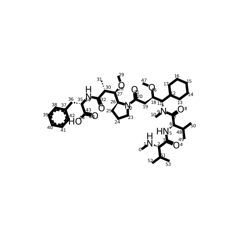 CN[C@H](C(=O)N[C@H](C(=O)N(C)[C@@H](C1CCCCC1)[C@@H](CC(=O)N1CCC[C@H]1[C@H](OC)[C@@H](C)C(=O)N[C@@H](Cc1ccccc1)C(=O)O)OC)C(C)C)C(C)C